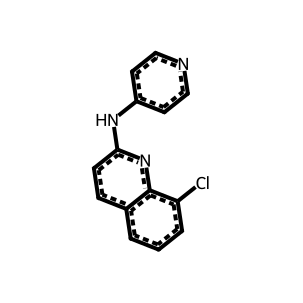 Clc1cccc2ccc(Nc3ccncc3)nc12